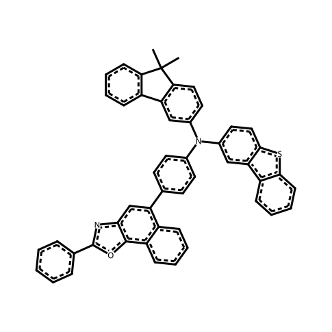 CC1(C)c2ccccc2-c2cc(N(c3ccc(-c4cc5nc(-c6ccccc6)oc5c5ccccc45)cc3)c3ccc4sc5ccccc5c4c3)ccc21